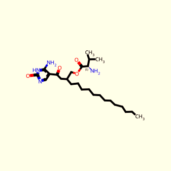 CCCCCCCCCCCCCC(COC(=O)[C@@H](N)C(C)C)CC(=O)c1cnc(=O)[nH]c1N